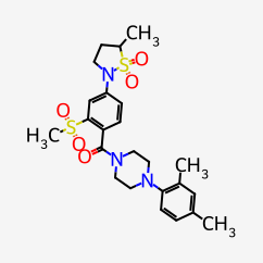 Cc1ccc(N2CCN(C(=O)c3ccc(N4CCC(C)S4(=O)=O)cc3S(C)(=O)=O)CC2)c(C)c1